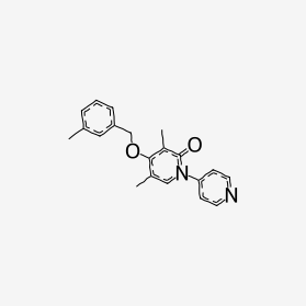 Cc1cccc(COc2c(C)cn(-c3ccncc3)c(=O)c2C)c1